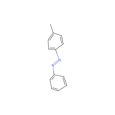 Cc1ccc(N=Nc2ccccc2)cc1